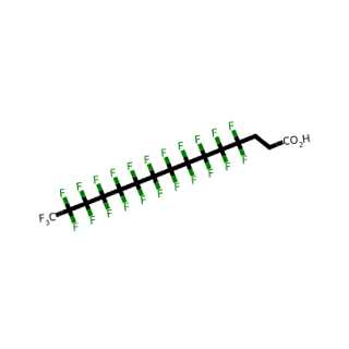 O=C(O)CCC(F)(F)C(F)(F)C(F)(F)C(F)(F)C(F)(F)C(F)(F)C(F)(F)C(F)(F)C(F)(F)C(F)(F)C(F)(F)C(F)(F)F